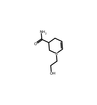 NC(=O)C1CC=CN(CCO)C1